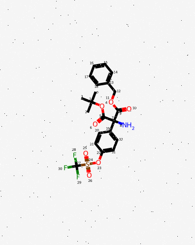 CC(C)(C)OC(=O)C(N)(C(=O)OCc1ccccc1)c1ccc(OS(=O)(=O)C(F)(F)F)cc1